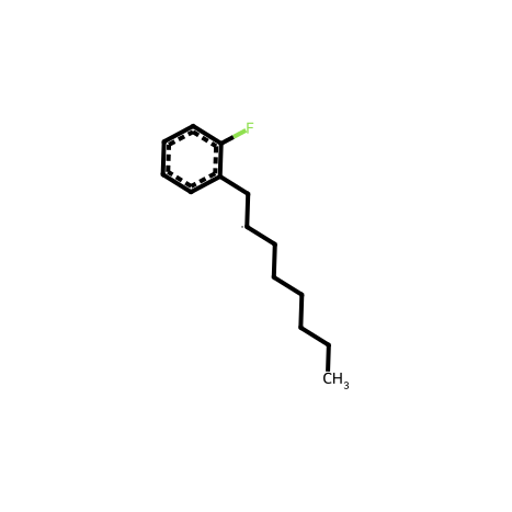 CCCCCC[CH]Cc1ccccc1F